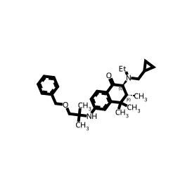 CCN(CC1CC1)[C@@H]1C(=O)c2ccc(NC(C)(C)COCc3ccccc3)cc2C(C)(C)[C@H]1C